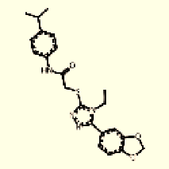 CCn1c(SCC(=O)Nc2ccc(C(C)C)cc2)nnc1-c1ccc2c(c1)OCO2